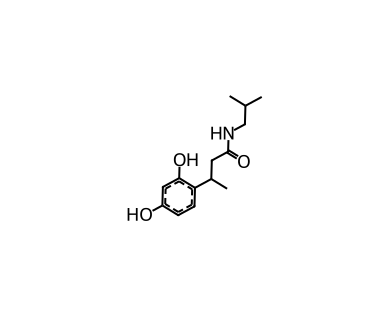 CC(C)CNC(=O)CC(C)c1ccc(O)cc1O